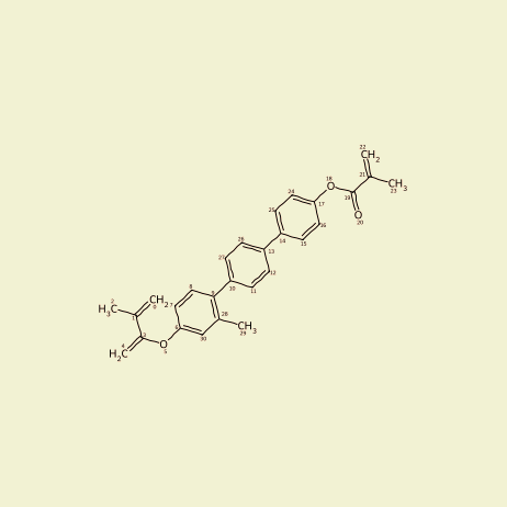 C=C(C)C(=C)Oc1ccc(-c2ccc(-c3ccc(OC(=O)C(=C)C)cc3)cc2)c(C)c1